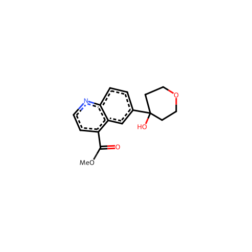 COC(=O)c1ccnc2ccc(C3(O)CCOCC3)cc12